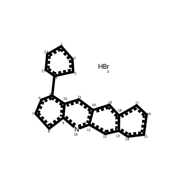 Br.c1ccc(-c2cccc3nc4cc5ccccc5cc4cc23)cc1